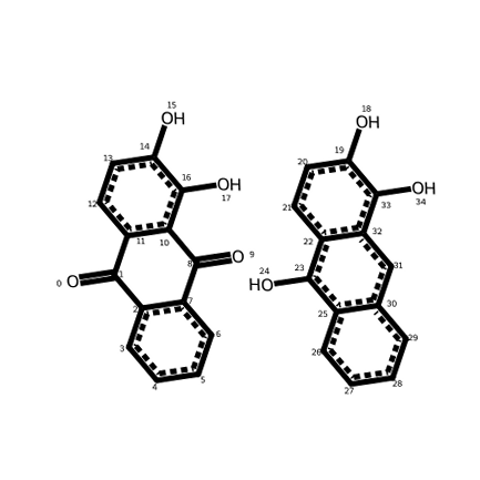 O=C1c2ccccc2C(=O)c2c1ccc(O)c2O.Oc1ccc2c(O)c3ccccc3cc2c1O